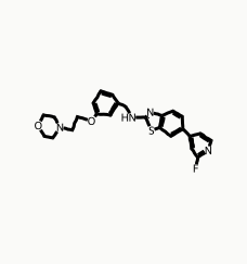 Fc1cc(-c2ccc3nc(NCc4cccc(OCCN5CCOCC5)c4)sc3c2)ccn1